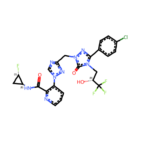 O=C(N[C@@H]1C[C@@H]1F)c1ncccc1-n1cnc(Cn2nc(-c3ccc(Cl)cc3)n(C[C@@H](O)C(F)(F)F)c2=O)n1